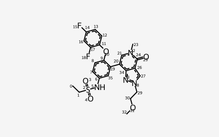 CCS(=O)(=O)Nc1ccc(Oc2ccc(F)cc2F)c(-c2cn(C)c(=O)c3cn(CCOC)nc23)c1